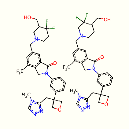 Cn1cnnc1CC1(c2cccc(N3Cc4c(cc(CN5CCC(CO)C(F)(F)C5)cc4C(F)(F)F)C3=O)c2)COC1.Cn1cnnc1CC1(c2cccc(N3Cc4c(cc(CN5CCC(F)(F)C(CO)C5)cc4C(F)(F)F)C3=O)c2)COC1